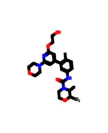 Cc1ccc(NC(=O)N2CCOC(C(F)(F)F)C2C)cc1-c1cc(OCCO)nc(N2CCOCC2)c1